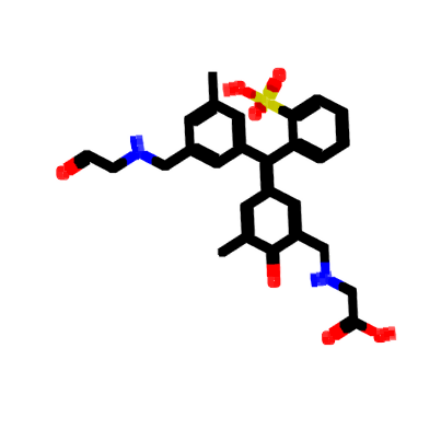 CC1=C/C(=C(\c2cc(C)cc(CNCC=O)c2)c2ccccc2S(=O)(=O)O)C=C(CNCC(=O)O)C1=O